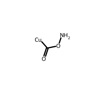 NO[C](=O)[Cu]